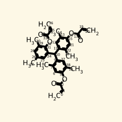 C=CC(=O)Oc1cc(C)c(C(c2cc(C)c(OC(=O)C=C)cc2C)c2cc(C)cc(C)c2OC(=O)C=C)cc1C